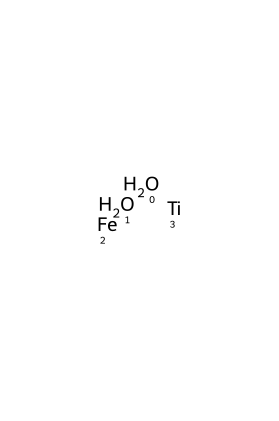 O.O.[Fe].[Ti]